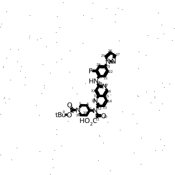 CC(C)(C)OC(=O)N1CCC(N(C(=O)C(=O)O)c2ccc3cnc(Nc4ccc(-n5cccn5)cc4F)cc3n2)CC1